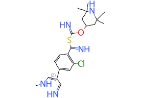 CN/C=C(\C=N)c1ccc(C(=N)SC(=N)OC2CC(C)(C)NC(C)(C)C2)c(Cl)c1